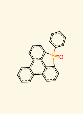 O=P1(c2ccccc2)c2cccc3c4ccccc4c4cccc1c4c23